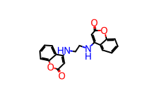 O=c1cc(NCCNc2cc(=O)oc3ccccc23)c2ccccc2o1